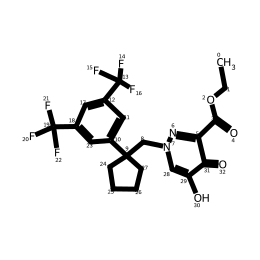 CCOC(=O)c1nn(CC2(c3cc(C(F)(F)F)cc(C(F)(F)F)c3)CCCC2)cc(O)c1=O